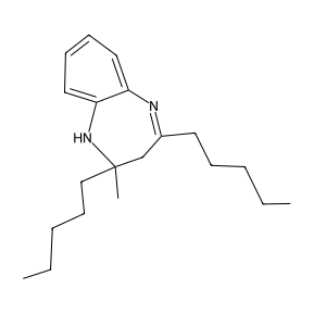 CCCCCC1=Nc2ccccc2NC(C)(CCCCC)C1